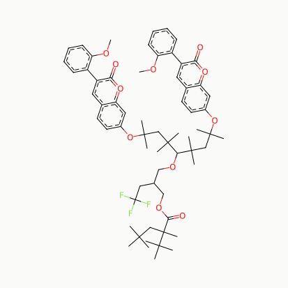 COc1ccccc1-c1cc2ccc(OC(C)(C)CC(C)(C)C(OCC(COC(=O)C(C)(CC(C)(C)C)C(C)(C)C)CC(F)(F)F)C(C)(C)CC(C)(C)Oc3ccc4cc(-c5ccccc5OC)c(=O)oc4c3)cc2oc1=O